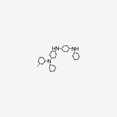 Cc1cccc(N(c2ccccc2)c2ccc(Nc3ccc(Nc4ccccc4)cc3)cc2)c1